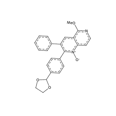 COc1nccc2c1cc(-c1ccccc1)c(-c1ccc(C3OCCO3)cc1)[n+]2[O-]